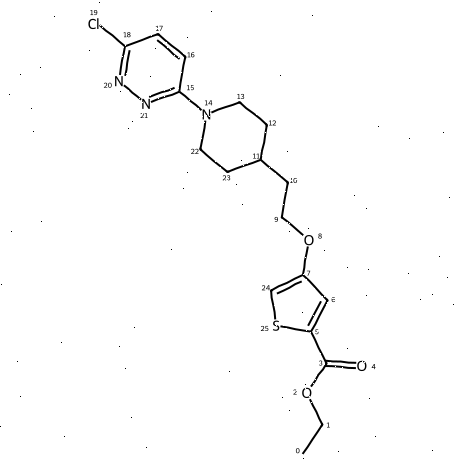 CCOC(=O)c1cc(OCCC2CCN(c3ccc(Cl)nn3)CC2)cs1